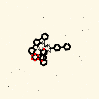 c1ccc(-c2ccc(-c3nc(-c4ccccc4)nc(-n4c5ccccc5c5ccc6c7ccccc7n(-c7cccc(-c8ccccc8-c8ccccc8)c7-c7ccccc7)c6c54)n3)cc2)cc1